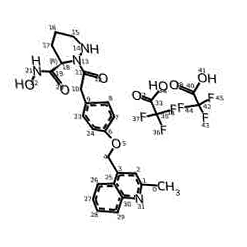 Cc1cc(COc2ccc(CC(=O)N3NCCC[C@@H]3C(=O)NO)cc2)c2ccccc2n1.O=C(O)C(F)(F)F.O=C(O)C(F)(F)F